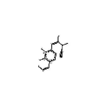 C#CC(C)/C(C)=C\c1ccc(/C=C\C)c(C)[n+]1C